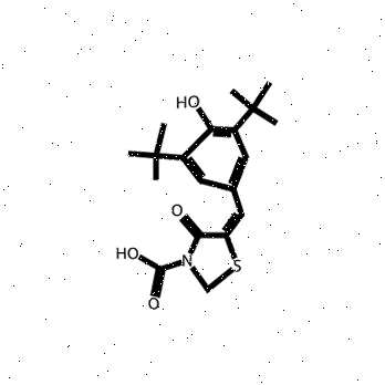 CC(C)(C)c1cc(C=C2SCN(C(=O)O)C2=O)cc(C(C)(C)C)c1O